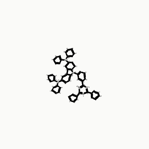 c1ccc(-c2nc(-c3ccccc3)nc(-c3cccc(-n4c5ccc(N(c6ccccc6)c6ccccc6)cc5c5cc(N(c6ccccc6)c6ccccc6)ccc54)c3)n2)cc1